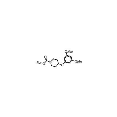 COc1cc(OC)cc(OC2CCN(C(=O)OC(C)(C)C)CC2)c1